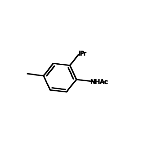 CC(=O)Nc1ccc(C)cc1C(C)C